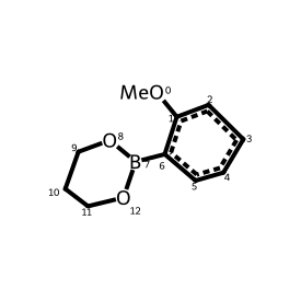 COc1ccccc1B1OCCCO1